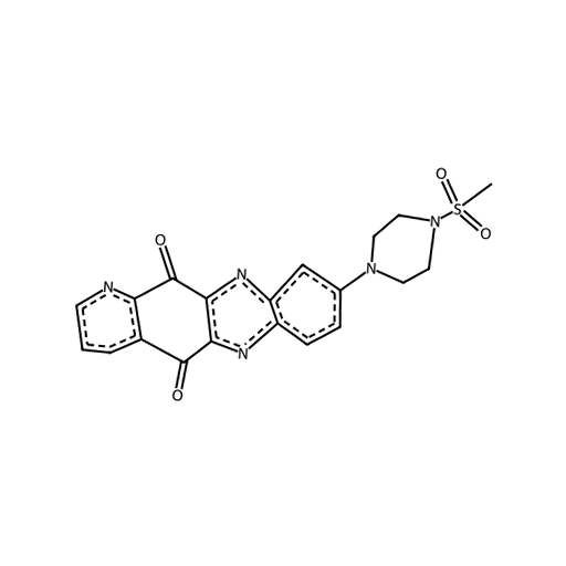 CS(=O)(=O)N1CCN(c2ccc3nc4c(nc3c2)C(=O)c2ncccc2C4=O)CC1